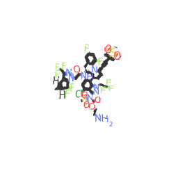 CC(C)(C#Cc1ccc(-c2ccc(Cl)c3c(N(C(=O)OCCN)S(C)(=O)=O)nn(CC(F)(F)F)c23)c([C@H](Cc2cc(F)cc(F)c2)NC(=O)Cn2nc(C(F)(F)F)c3c2C(F)(F)[C@@H]2C[C@H]32)n1)S(C)(=O)=O